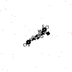 O=C(NN1CCN(C[C@H](O)COc2ccc(Cl)c(F)c2)CC1)c1cn(C2CCC2)c2cc(Cl)c(F)cc2c1=O